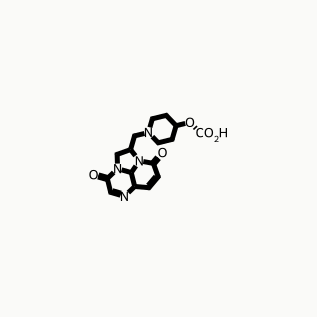 O=C(O)OC1CCN(CC2CN3C(=O)C=NC4C=CC(=O)N2C43)CC1